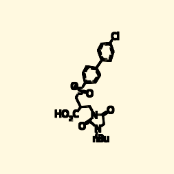 CCCCN1CC(=O)N(CC(CS(=O)(=O)c2ccc(-c3ccc(Cl)cc3)cc2)C(=O)O)C1=O